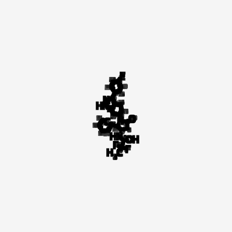 CC(F)(F)C(O)N[C@H]1CC(=O)N(c2ccc3c(-c4ccc(F)cc4)n[nH]c3c2)C1c1ccccc1